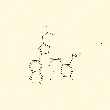 Cc1cc(C)c([NH][Ti][CH2]c2c(C3=CC(CN(C)C)=CC3)ccc3ccccc23)c(C)c1.Cl.Cl